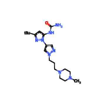 CN1CCN(CCCn2cc(-n3nc(C(C)(C)C)cc3NC(N)=O)cn2)CC1